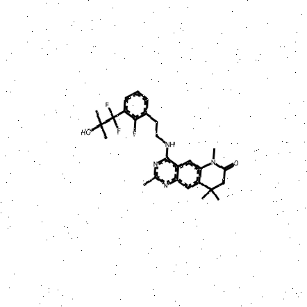 Cc1nc(NCCc2cccc(C(F)(F)C(C)(C)O)c2F)c2cc3c(cc2n1)C(C)(C)CC(=O)N3C